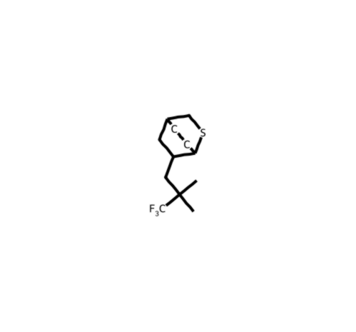 CC(C)(CC1CC2CCC1SC2)C(F)(F)F